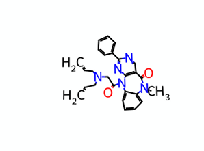 C=CCN(CC=C)CC(=O)N1c2ccccc2N(C)C(=O)c2cnc(-c3ccccc3)nc21